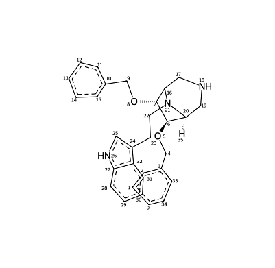 c1ccc(CO[C@H]2[C@H](OCc3ccccc3)C3CNC[C@@H]2N3CCc2c[nH]c3ccccc23)cc1